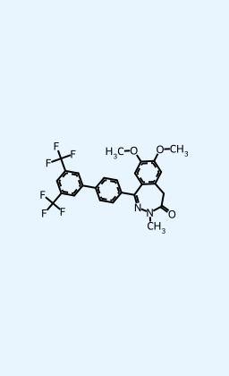 COc1cc2c(cc1OC)C(c1ccc(-c3cc(C(F)(F)F)cc(C(F)(F)F)c3)cc1)=NN(C)C(=O)C2